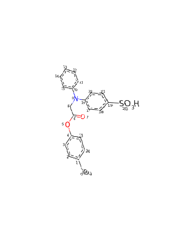 CCC(C)c1ccc(OC(=O)CN(c2ccccc2)c2ccc(S(=O)(=O)O)cc2)cc1